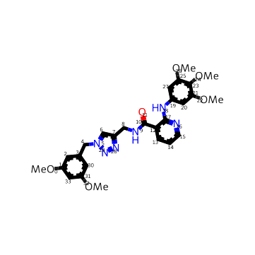 COc1cc(Cn2cc(CNC(=O)c3cccnc3Nc3cc(OC)c(OC)c(OC)c3)nn2)cc(OC)c1